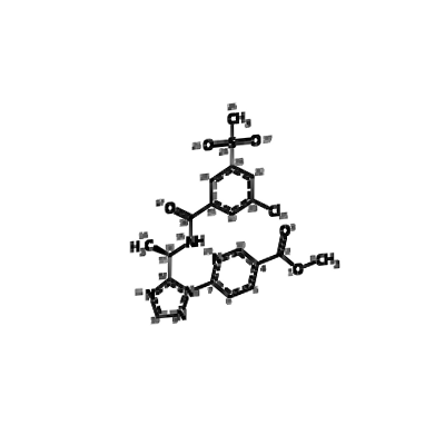 COC(=O)c1ccc(-n2ncnc2[C@@H](C)NC(=O)c2cc(Cl)cc(S(C)(=O)=O)c2)nc1